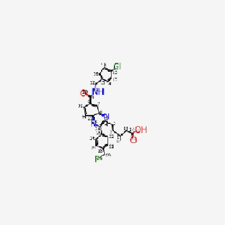 CC(CCc1nc2cc(C(=O)NCc3ccc(Cl)cc3)ccc2nc1-c1ccc(CF)cc1)CC(=O)O